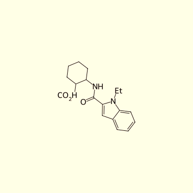 CCn1c(C(=O)NC2CCCCC2C(=O)O)cc2ccccc21